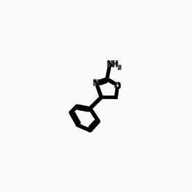 NC1=NC(c2ccccc2)CO1